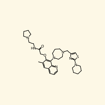 Cc1cc2cccnc2c(N2CCCN(Cc3csc(N4CCCCC4)n3)CC2)c1OCC(=O)NCCN1CCCC1